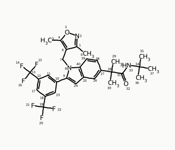 Cc1noc(C)c1Cn1c(-c2cc(C(F)(F)F)cc(C(F)(F)F)c2)cc2cc(C(C)(C)C(=O)NC(C)(C)C)ccc21